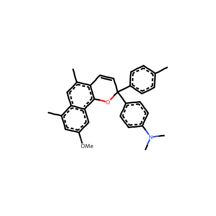 COc1cc(C)c2cc(C)c3c(c2c1)OC(c1ccc(C)cc1)(c1ccc(N(C)C)cc1)C=C3